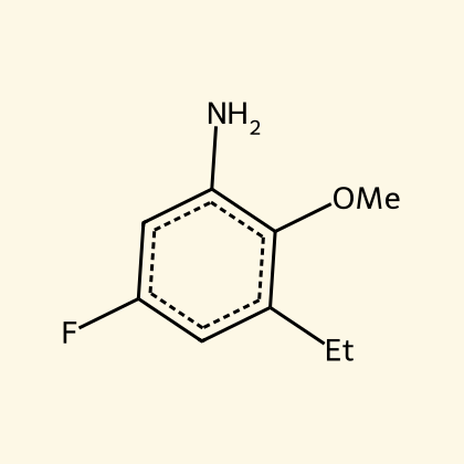 CCc1cc(F)cc(N)c1OC